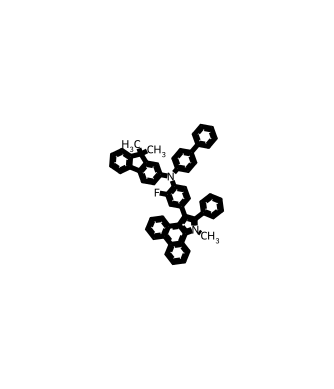 Cn1c(-c2ccccc2)c(-c2ccc(N(c3ccc(-c4ccccc4)cc3)c3ccc4c(c3)C(C)(C)c3ccccc3-4)c(F)c2)c2c3ccccc3c3ccccc3c21